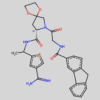 CC(NC(=O)[C@@H]1CC2(CN1C(=O)CNC(=O)c1ccc3c(c1)-c1ccccc1C3)OCCO2)c1cc(C(=N)N)cs1